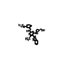 COc1cccc(CNc2nc(C)c(-c3nc4ccccc4s3)c(N[C@H]3CC[C@@H](CO)C3)n2)c1